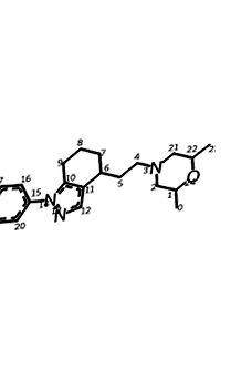 CC1CN(CCC2CCCc3c2cnn3-c2ccccc2)CC(C)O1